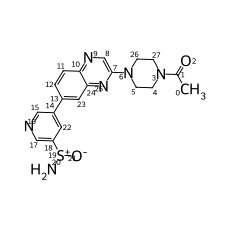 CC(=O)N1CCN(c2cnc3ccc(-c4cncc([S+](N)[O-])c4)cc3n2)CC1